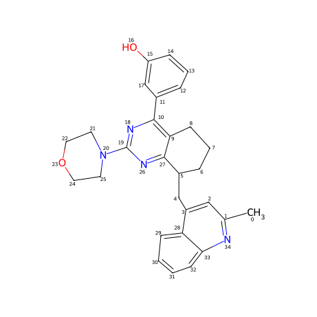 Cc1cc(CC2CCCc3c(-c4cccc(O)c4)nc(N4CCOCC4)nc32)c2ccccc2n1